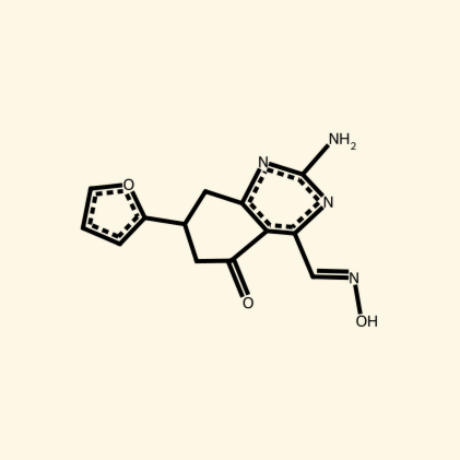 Nc1nc(C=NO)c2c(n1)CC(c1ccco1)CC2=O